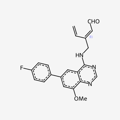 C=C/C(=C\C=O)CNc1ncnc2c(OC)cc(-c3ccc(F)cc3)cc12